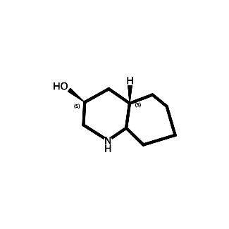 O[C@@H]1CNC2CCCC[C@H]2C1